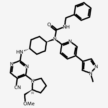 COC[C@@H]1CCCN1c1nc(N[C@H]2CC[C@H](N(C(=O)NCc3ccccc3)c3ccc(-c4cnn(C)c4)cn3)CC2)ncc1C#N